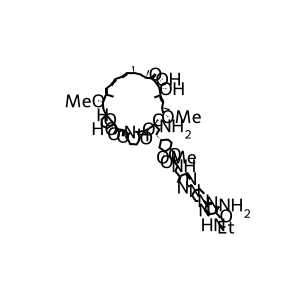 CCNC(=O)c1cnc(N2CCN(c3ncc(CNC(=O)O[C@@H]4CC[C@@H](C[C@@H](N)[C@@H]5C[C@@H](OC)[C@H](C)/C=C(\C)[C@@H](O)[C@@H](O)C(=O)[C@H](C)C[C@H](C)/C=C/C=C/C=C(\C)[C@@H](OC)C[C@@H]6CC[C@@H](C)[C@@](O)(O6)C(=O)C(=O)N6CCCC[C@H]6C(=O)O5)C[C@H]4OC)cn3)CC2)nc1N